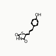 O=C1NC(=O)C(=CC=Cc2ccc(O)cc2)S1